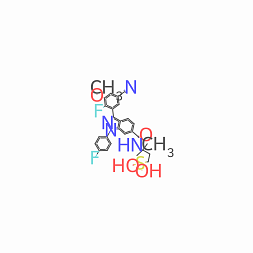 COc1cc(C#N)cc(-c2nn(-c3ccc(F)cc3)c3cc(C(=O)NC4(C)CCS(O)(O)C4)ccc23)c1F